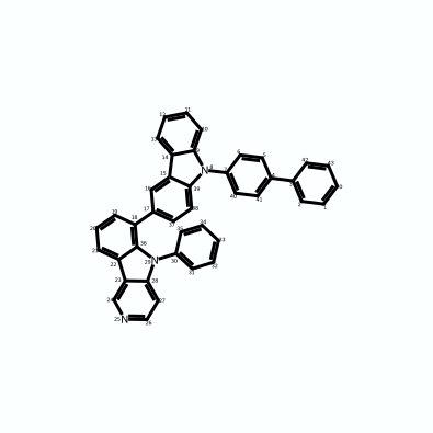 c1ccc(-c2ccc(-n3c4ccccc4c4cc(-c5cccc6c7cnccc7n(-c7ccccc7)c56)ccc43)cc2)cc1